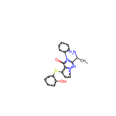 CC(N)c1nn2ccc(Sc3ccccc3O)c2c(=O)n1-c1ccccc1